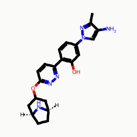 Cc1nn(-c2ccc(-c3ccc(OC4C[C@H]5CC[C@@H](C4)N5)nn3)c(O)c2)cc1N